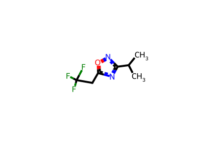 CC(C)c1noc(CC(F)(F)F)n1